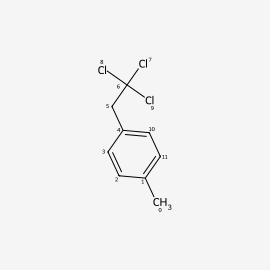 Cc1ccc(CC(Cl)(Cl)Cl)cc1